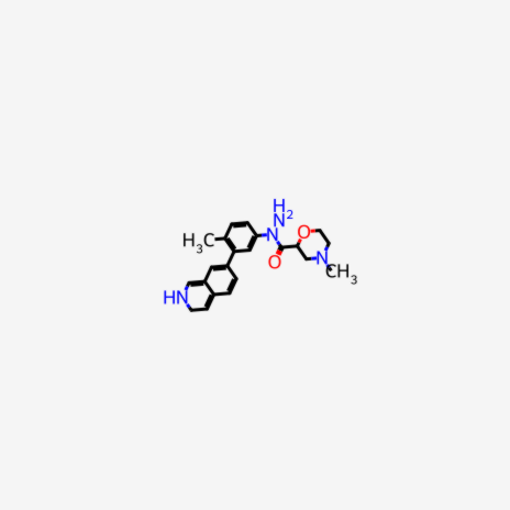 Cc1ccc(N(N)C(=O)C2CN(C)CCO2)cc1-c1ccc2c(c1)=CNCC=2